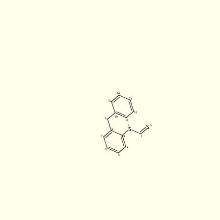 S=CSc1ccccc1Cc1ccccc1